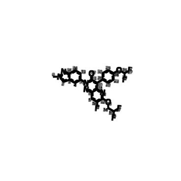 Cn1cc2cc(-n3nc4cc(F)c(OCC(F)F)nc4c(-c4ccc(OC(F)F)cc4)c3=O)ccc2n1